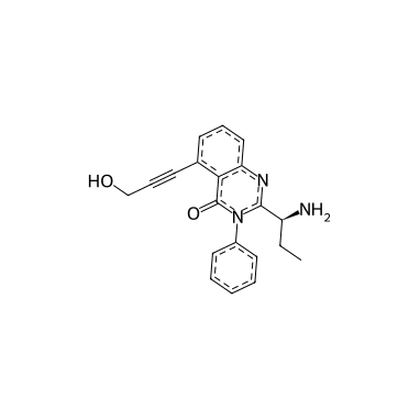 CC[C@H](N)c1nc2cccc(C#CCO)c2c(=O)n1-c1ccccc1